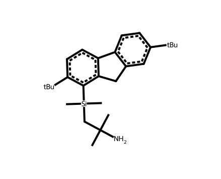 CC(C)(N)C[Si](C)(C)c1c(C(C)(C)C)ccc2c1Cc1cc(C(C)(C)C)ccc1-2